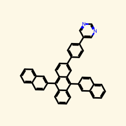 c1ccc2cc(-c3c4ccccc4c(-c4ccc5ccccc5c4)c4cc(-c5ccc(-c6cncnc6)cc5)ccc34)ccc2c1